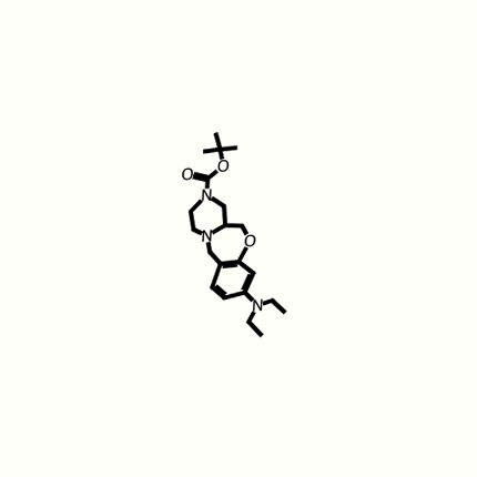 CCN(CC)c1ccc2c(c1)OCC1CN(C(=O)OC(C)(C)C)CCN1C2